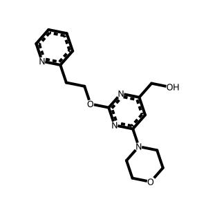 OCc1cc(N2CCOCC2)nc(OCCc2ccccn2)n1